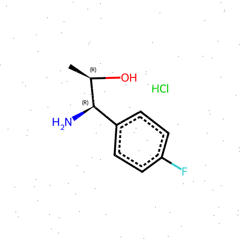 C[C@@H](O)[C@H](N)c1ccc(F)cc1.Cl